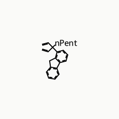 C=CC(C=C)(CCCCC)c1cccc2c1Cc1ccccc1-2